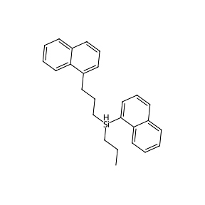 CCC[SiH](CCCc1cccc2ccccc12)c1cccc2ccccc12